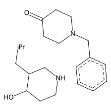 CC(C)CC1CNCCC1O.O=C1CCN(Cc2ccccc2)CC1